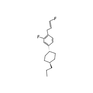 CCC[C@H]1CC[C@H](c2ccc(CC=CF)c(F)c2)CC1